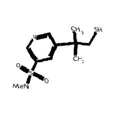 CNS(=O)(=O)c1cncc(C(C)(C)CS)c1